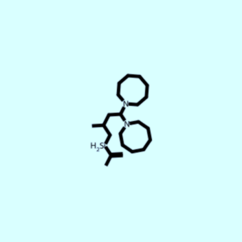 C=C(C)[SiH2]CC(C)CC(N1CCCCCCC1)N1CCCCCCC1